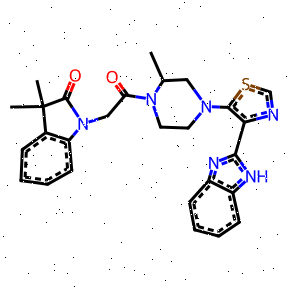 CC1CN(c2scnc2-c2nc3ccccc3[nH]2)CCN1C(=O)CN1C(=O)C(C)(C)c2ccccc21